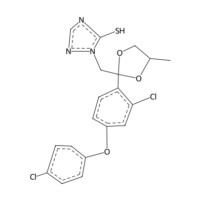 CC1COC(Cn2ncnc2S)(c2ccc(Oc3ccc(Cl)cc3)cc2Cl)O1